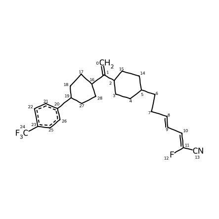 C=C(C1CCC(CCC=CC=C(F)C#N)CC1)C1CCC(c2ccc(C(F)(F)F)cc2)CC1